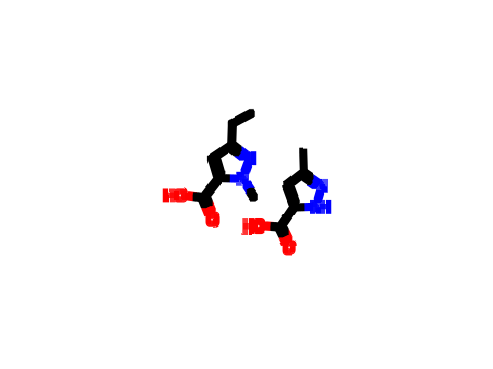 CCc1cc(C(=O)O)n(C)n1.Cc1cc(C(=O)O)[nH]n1